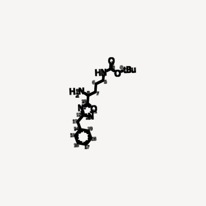 CC(C)(C)OC(=O)NCCCC(N)c1nc(Cc2ccccc2)no1